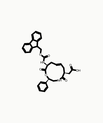 O=C(O)C[C@@H]1C/C=C/C[C@H](NC(=O)OCC2c3ccccc3-c3ccccc32)C(=O)O[C@H](c2ccccc2)CNC1=O